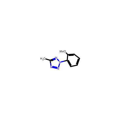 COc1ccccc1-n1nnc(C)n1